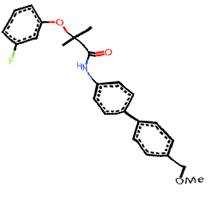 COCc1ccc(-c2ccc(NC(=O)C(C)(C)Oc3cccc(F)c3)cc2)cc1